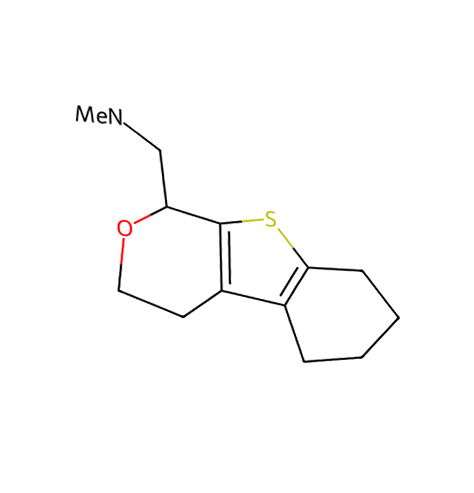 CNCC1OCCc2c1sc1c2CCCC1